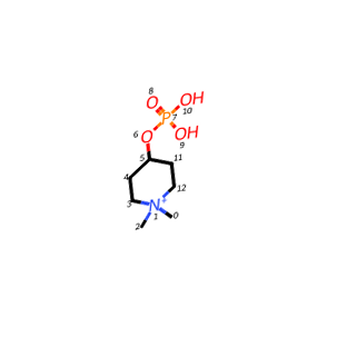 C[N+]1(C)CCC(OP(=O)(O)O)CC1